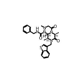 C[C@H]1[C@H]2N(C(=O)CN(C)N2C(=O)NCc2ccccc2)[C@@H](C)C(=O)N1Cc1csc2ccccc12